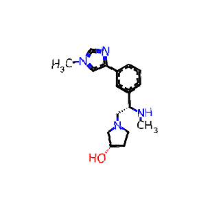 CN[C@H](CN1CC[C@H](O)C1)c1cccc(-c2cn(C)cn2)c1